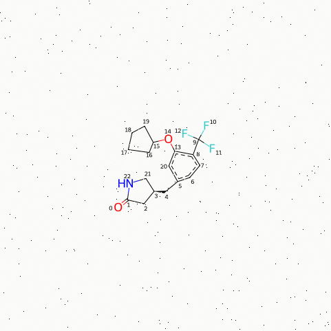 O=C1C[C@H](Cc2ccc(C(F)(F)F)c(OC3CCCC3)c2)CN1